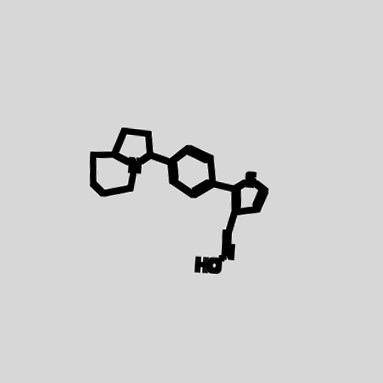 O/N=C/c1ccsc1-c1ccc(C2CCC3CCCCN32)cc1